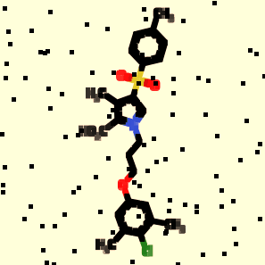 Cc1ccc(S(=O)(=O)c2cn(CCCOc3cc(C)c(Cl)c(C)c3)c(C(=O)O)c2C)cc1